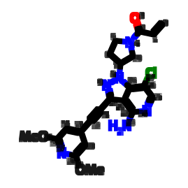 C=CC(=O)N1CCC(n2nc(C#Cc3cc(OC)nc(OC)c3)c3c(N)ncc(Cl)c32)C1